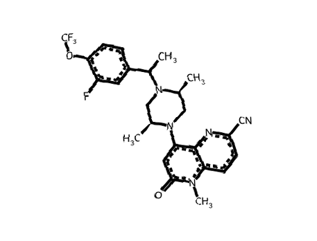 CC(c1ccc(OC(F)(F)F)c(F)c1)N1C[C@H](C)N(c2cc(=O)n(C)c3ccc(C#N)nc23)C[C@@H]1C